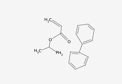 C=CC(=O)OC(C)P.c1ccc(-c2ccccc2)cc1